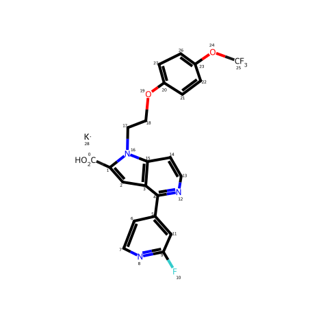 O=C(O)c1cc2c(-c3ccnc(F)c3)nccc2n1CCOc1ccc(OC(F)(F)F)cc1.[K]